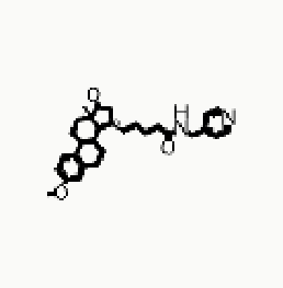 COc1ccc2c(c1)CCC1C2CC[C@]2(C)C(=O)C[C@@H](CCCCC(=O)NCc3ccncc3)C12